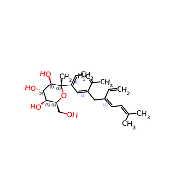 C=C/C(=C\C=C(C)C)C/C(=C/C(=C\C)[C@]1(C)O[C@@H](CO)[C@@H](O)[C@H](O)[C@H]1O)C(=C)C